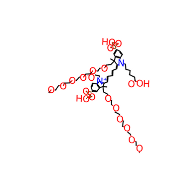 COCCOCCOCCOCCOCCOCCC1(C)C(/C=C/C=C/C=C2/N(CCCCCC(=O)O)c3ccc(S(=O)(=O)O)cc3C2(C)CCOCCOCCOCCOCCOCCOC)=[N+](CCOC)c2ccc(S(=O)(=O)O)cc21